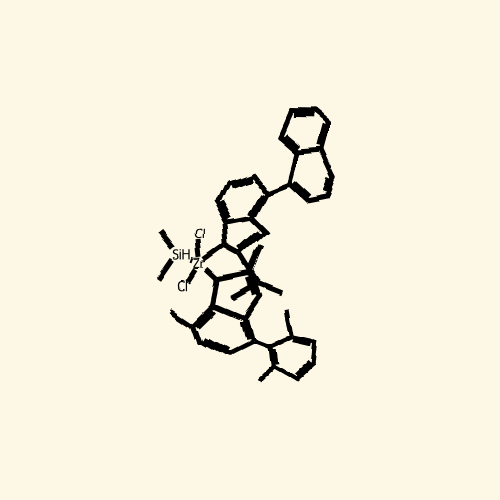 CC1=Cc2c(-c3c(C)cccc3C)ccc(C)c2[CH]1[Zr]([Cl])([Cl])([CH]1C(C(C)C)=Cc2c(-c3cccc4ccccc34)cccc21)[SiH](C)C